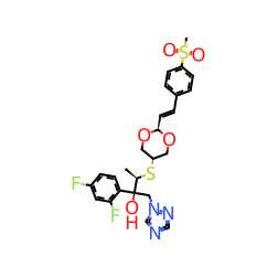 C[C@@H](S[C@H]1CO[C@H](/C=C/c2ccc(S(C)(=O)=O)cc2)OC1)[C@](O)(Cn1cncn1)c1ccc(F)cc1F